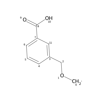 [CH2]OCc1cccc(C(=O)O)c1